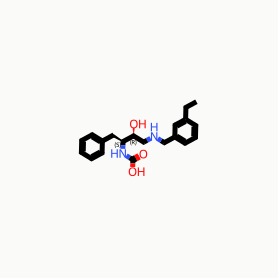 CCc1cccc(CNC[C@@H](O)[C@H](Cc2ccccc2)NC(=O)O)c1